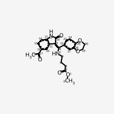 COC(=O)CCCNC(=C1C(=O)Nc2ccc(C(C)=O)cc21)c1ccc2c(c1)OCCO2